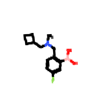 CN(Cc1ccc(F)cc1B(O)O)CC1CCC1